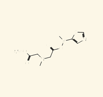 COC(=O)CN(C)CC(=O)OB(C)c1cncs1